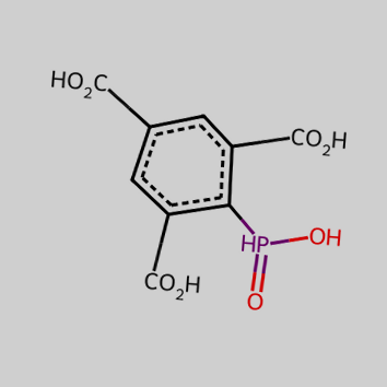 O=C(O)c1cc(C(=O)O)c([PH](=O)O)c(C(=O)O)c1